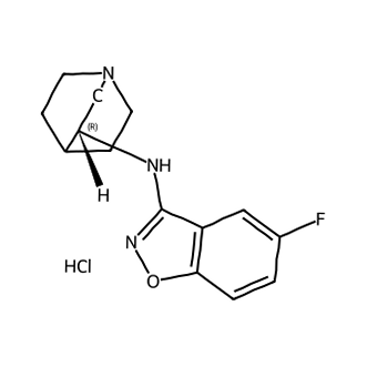 Cl.Fc1ccc2onc(N[C@H]3CN4CCC3CC4)c2c1